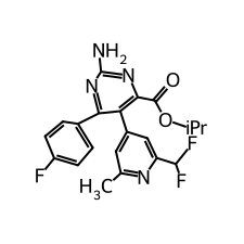 Cc1cc(-c2c(C(=O)OC(C)C)nc(N)nc2-c2ccc(F)cc2)cc(C(F)F)n1